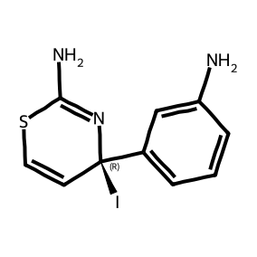 NC1=N[C@](I)(c2cccc(N)c2)C=CS1